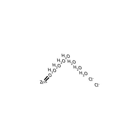 O.O.O.O.O.O.O.[Cl-].[Cl-].[O]=[Zr+2]